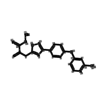 C=C(Cc1nc(-c2ccc(Oc3ccnc(C(F)(F)F)c3)cc2)no1)C(=O)OC(C)(C)C